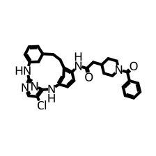 O=C(CC1CCN(C(=O)c2ccccc2)CC1)Nc1ccc2cc1CCC1C=CC=C(C1)Nc1ncc(Cl)c(n1)N2